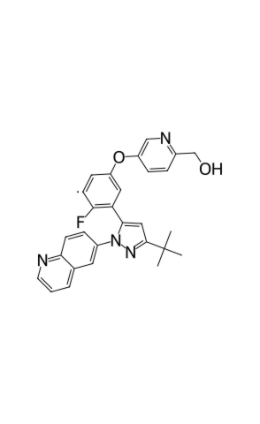 CC(C)(C)c1cc(-c2cc(Oc3ccc(CO)nc3)c[c]c2F)n(-c2ccc3ncccc3c2)n1